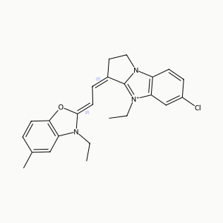 CCN1/C(=C/C=C2/CCn3c2[n+](CC)c2cc(Cl)ccc23)Oc2ccc(C)cc21